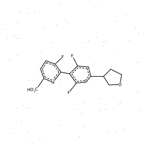 O=C(O)c1ccc(F)c(-c2c(F)cc(C3CCOC3)cc2F)n1